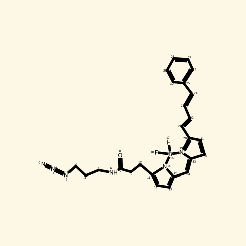 [N-]=[N+]=NCCCNC(=O)CCc1ccc2n1[B-](F)(F)[N+]1=C(/C=C/C=C/c3ccccc3)C=CC1=C2